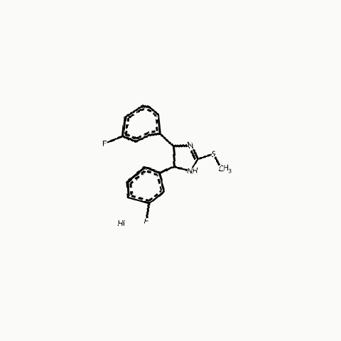 CSC1=NC(c2cccc(F)c2)C(c2cccc(F)c2)N1.I